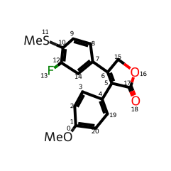 COc1ccc(C2=C(c3ccc(SC)c(F)c3)COC2=O)cc1